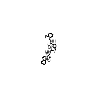 O=C(NCc1ccccc1F)C1CCc2cnc(NCC(F)(F)c3ccc4ccccc4[n+]3[O-])c(=O)n21